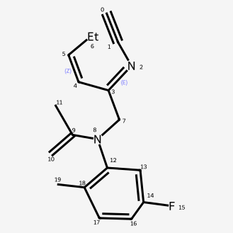 C#C/N=C(\C=C/CC)CN(C(=C)C)c1cc(F)ccc1C